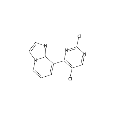 Clc1ncc(Cl)c(-c2cccn3ccnc23)n1